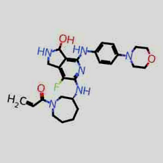 C=CC(=O)N1CCCC[C@H](Nc2nc(Nc3ccc(N4CCOCC4)cc3)c3c(c2F)CNC3O)C1